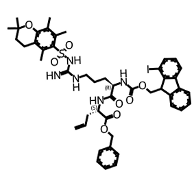 C=CC[C@H](NC(=O)[C@@H](CCCNC(=N)NS(=O)(=O)c1c(C)c(C)c2c(c1C)CCC(C)(C)O2)NC(=O)OCC1c2ccccc2-c2cccc(I)c21)C(=O)OCc1ccccc1